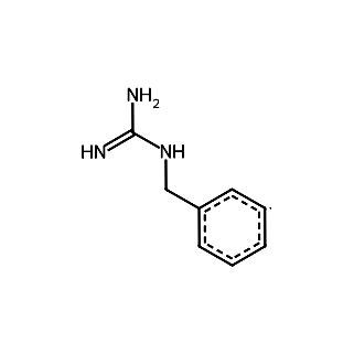 N=C(N)NCc1c[c]ccc1